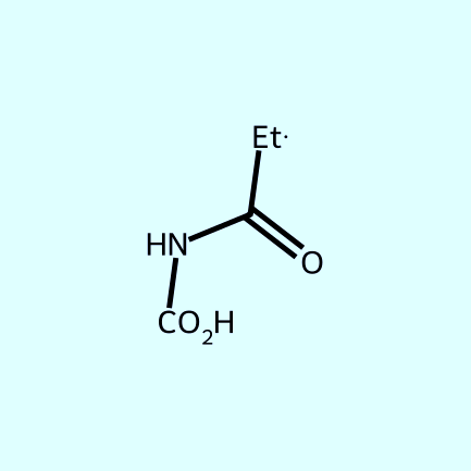 C[CH]C(=O)NC(=O)O